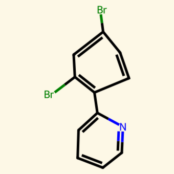 Brc1ccc(-c2ccccn2)c(Br)c1